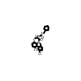 O=C(N[C@H]1CSc2ccc(C(=O)O)cc2N(Cc2ccc(Cl)cc2)C1=O)OCc1ccccc1